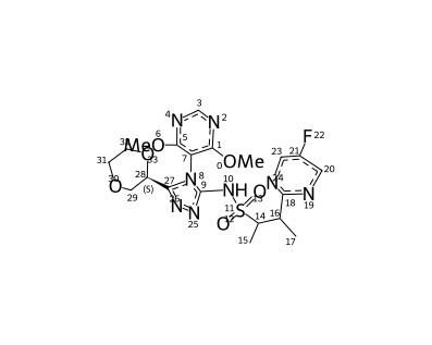 COc1ncnc(OC)c1-n1c(NS(=O)(=O)C(C)C(C)c2ncc(F)cn2)nnc1[C@H]1COCCO1